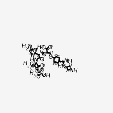 CC1(C)[C@H](NC(=O)/C(=N\OC(COc2ccc(C(=N)NC3CNC3)cc2)C(=O)O)c2nsc(N)n2)C(=O)N1OS(=O)(=O)O